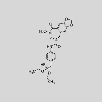 CCOP(=P)(Cc1ccc(NC(=O)[C@H]2Cc3cc4c(cc3C(=O)[C@H](C)S2)OCO4)cc1)OCC